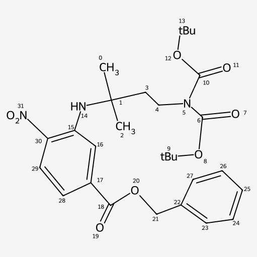 CC(C)(CCN(C(=O)OC(C)(C)C)C(=O)OC(C)(C)C)Nc1cc(C(=O)OCc2ccccc2)ccc1[N+](=O)[O-]